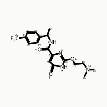 CC(NC(=O)c1cc(=O)[nH]c(OCCN(C)C)n1)c1ccc(C(F)(F)F)cc1